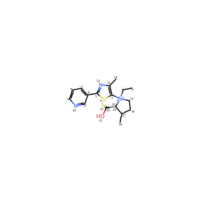 CC[N+]1(c2sc(-c3cccnc3)nc2C)CCC(C)[C@H]1C(O)=S